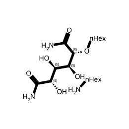 CCCCCCN.CCCCCCO[C@@H](C(N)=O)[C@@H](O)[C@H](O)[C@H](O)C(N)=O